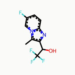 Cc1c(C(O)C(F)(F)F)nc2ccc(F)cn12